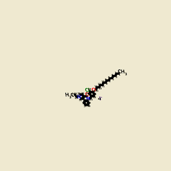 CCCCCCCCCCCCCCCCOc1ccc(CN(C(=O)c2cc[n+](CCC)cc2)c2ccccc2)cc1Cl.[I-]